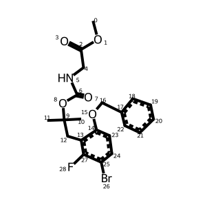 COC(=O)CNC(=O)OC(C)(C)Cc1c(OCc2ccccc2)ccc(Br)c1F